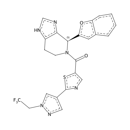 O=C(c1cnc(-c2cnn(CC(F)(F)F)c2)s1)N1CCc2[nH]cnc2[C@H]1c1cc2ccccc2o1